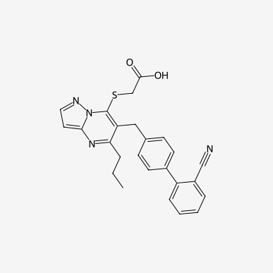 CCCc1nc2ccnn2c(SCC(=O)O)c1Cc1ccc(-c2ccccc2C#N)cc1